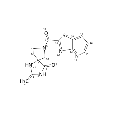 C=C1NC(=O)C2(CCN(C(=O)c3nc4ncccc4s3)C2)N1